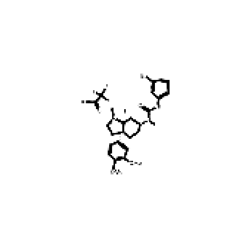 COc1ccc([C@@]23CC[C@H](N(C)C(=O)Nc4cccc(Br)c4)C[C@@H]2N(C)CC3)cc1OC.O=C(O)C(F)(F)F